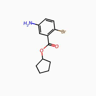 Nc1ccc(Br)c(C(=O)OC2CCCC2)c1